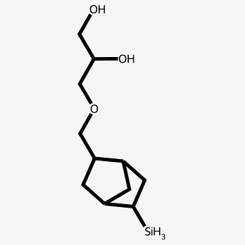 OCC(O)COCC1CC2CC1CC2[SiH3]